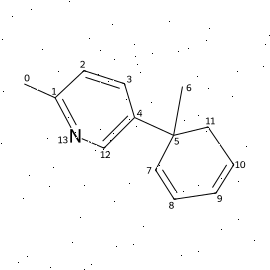 Cc1ccc(C2(C)C=CC=CC2)cn1